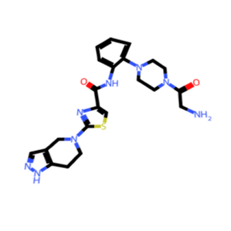 NCC(=O)N1CCN(c2ccccc2NC(=O)c2csc(N3CCc4[nH]ncc4C3)n2)CC1